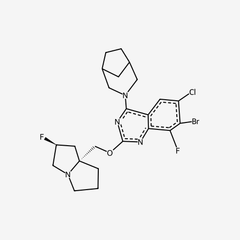 Fc1c(Br)c(Cl)cc2c(N3CC4CCC(C4)C3)nc(OC[C@]34CCCN3C[C@@H](F)C4)nc12